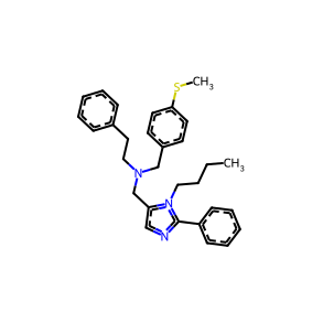 CCCCn1c(CN(CCc2ccccc2)Cc2ccc(SC)cc2)cnc1-c1ccccc1